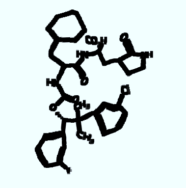 CC(C)(c1cccc(Cl)c1)[C@@H](OC(=O)NC(CC1CCCCC1)C(=O)NC(CC1CCNC1=O)C(=O)O)c1cccc(F)c1